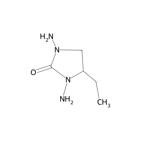 CCC1CN(N)C(=O)N1N